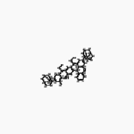 CSN1c2cc3c(cc2Bc2c(C)cc(C45CC6CC(CC(C6)C4)C5)cc21)B1c2ccccc2Oc2cc(C45CC6CC(CC(C6)C4)C5)cc(c21)N3SC